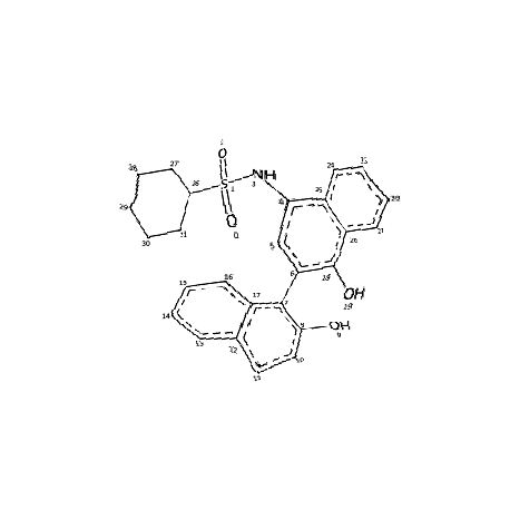 O=S(=O)(Nc1cc(-c2c(O)ccc3ccccc23)c(O)c2ccccc12)C1CCCCC1